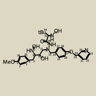 COc1ccc(CC(NO)C(O)CN(Cc2ccc(OCc3cccnc3)cc2)NC(=O)C(NO)C(C)(C)C)cc1